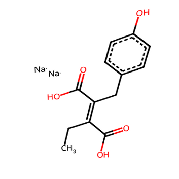 CCC(C(=O)O)=C(Cc1ccc(O)cc1)C(=O)O.[Na].[Na]